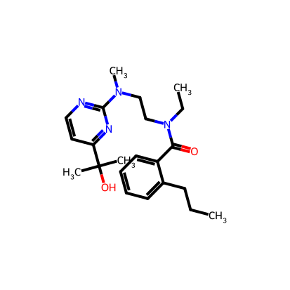 CCCc1ccccc1C(=O)N(CC)CCN(C)c1nccc(C(C)(C)O)n1